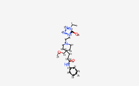 CCn1nnn(CCN2CCC(CCC(=O)Nc3ccccc3)(COC)CC2)c1=O